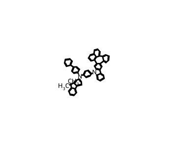 CC1(C)c2ccccc2-c2ccc(N(c3ccc(-c4ccccc4)cc3)c3ccc(-n4c5ccccc5c5cc6c(cc54)-c4cccc5cccc(c45)-c4ccccc4-6)cc3)cc21